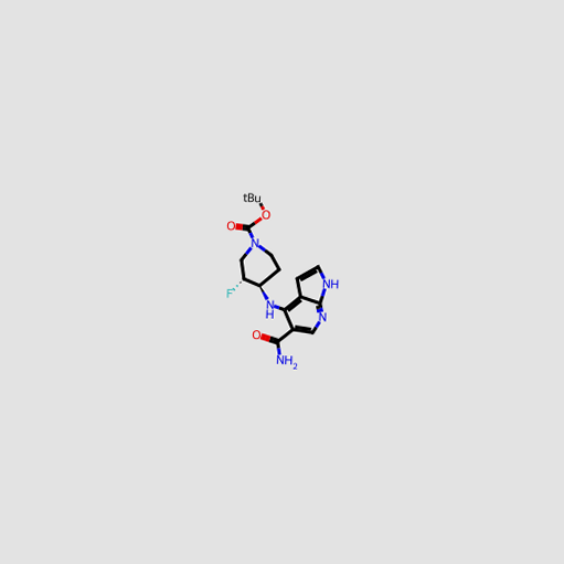 CC(C)(C)OC(=O)N1CC[C@@H](Nc2c(C(N)=O)cnc3[nH]ccc23)[C@H](F)C1